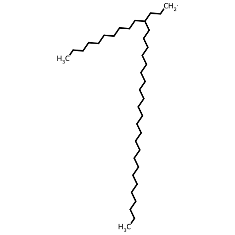 [CH2]CCC(CCCCCCCCCC)CCCCCCCCCCCCCCCCCCCCCCCC